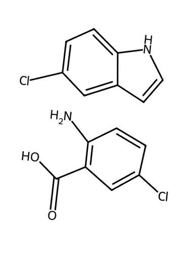 Clc1ccc2[nH]ccc2c1.Nc1ccc(Cl)cc1C(=O)O